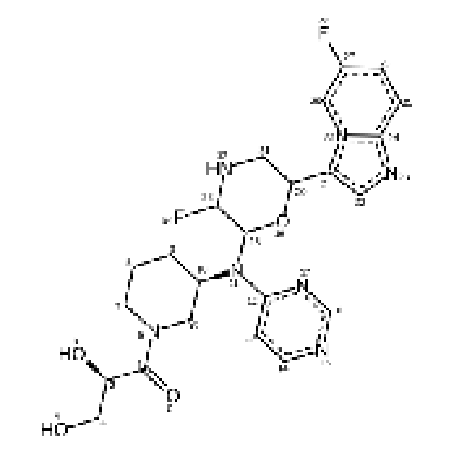 O=C([C@H](O)CO)N1CCC[C@@H](N(c2ccncn2)C2OC(c3cnc4ccc(F)cn34)CNC2F)C1